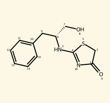 O=C1CSC(N[C@@H](CO)Cc2ccccc2)=N1